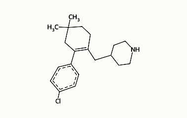 CC1(C)CCC(CC2CCNCC2)=C(c2ccc(Cl)cc2)C1